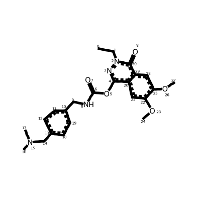 CCn1nc(OC(=O)NCc2ccc(CN(C)C)cc2)c2cc(OC)c(OC)cc2c1=O